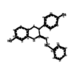 Oc1ccc(C2Cc3ccc(O)cc3OC2=NNc2ccccn2)cc1